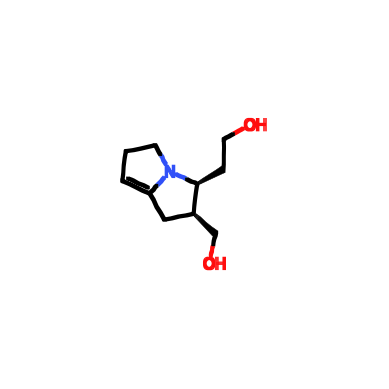 OCC[C@H]1[C@@H](CO)CC2=CCCN21